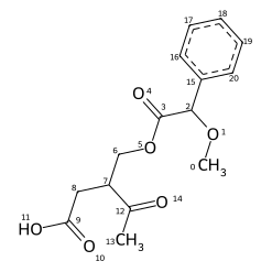 COC(C(=O)OCC(CC(=O)O)C(C)=O)c1ccccc1